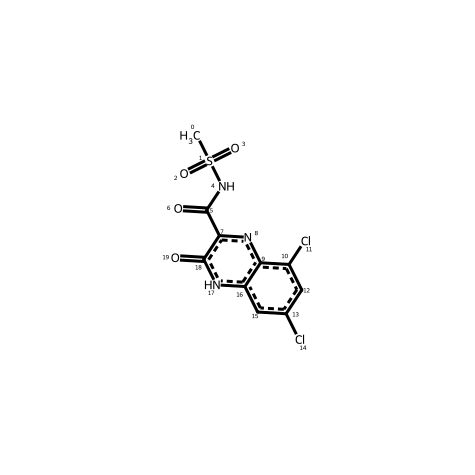 CS(=O)(=O)NC(=O)c1nc2c(Cl)cc(Cl)cc2[nH]c1=O